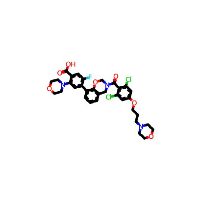 O=C(O)c1cc(F)c(-c2cccc3c2OCN(C(=O)c2c(Cl)cc(OCCCN4CCOCC4)cc2Cl)C3)cc1N1CCOCC1